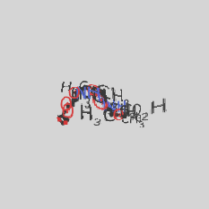 CC(C)(CNC(=O)CC(C)(C)COCC(C)(C)CNC(=O)CCCC(=O)OCc1ccccc1)COCC(C)(C)CC(=O)O